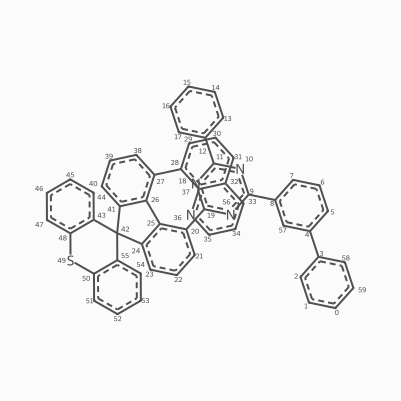 c1ccc(-c2cccc(-c3nc(-c4ccccc4)nc(-c4cccc5c4-c4c(-c6cccc7cccnc67)cccc4C54c5ccccc5Sc5ccccc54)n3)c2)cc1